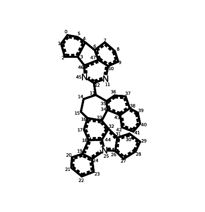 c1ccc2c(c1)-c1cccc3nc(C4CCc5cc6c7ccccc7n7c8ccccc8c(c5-c5c4ccc4ccccc54)c67)nc-2c13